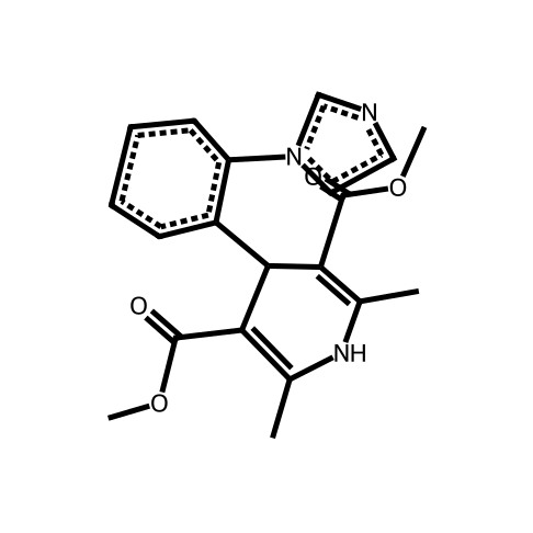 COC(=O)C1=C(C)NC(C)=C(C(=O)OC)C1c1ccccc1-n1ccnc1